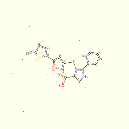 O=C(O)c1cnc(-c2ccccn2)n1Cc1cc(-c2ccc(Cl)s2)on1